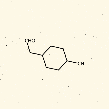 N#CC1CCC(CC=O)CC1